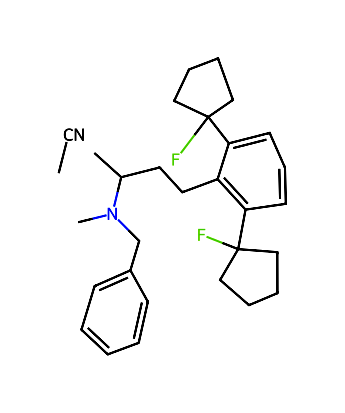 CC#N.CC(CCc1c(C2(F)CCCC2)cccc1C1(F)CCCC1)N(C)Cc1ccccc1